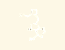 OCC1CCN1CC1CNc2c(O)ncnc21